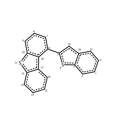 c1ccc2sc(-c3cccc4sc5ccccc5c34)cc2c1